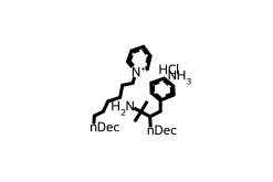 CCCCCCCCCCC(Cc1ccccc1)C(C)(C)N.CCCCCCCCCCCCCCCC[n+]1ccccc1.Cl.N